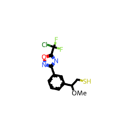 COC(CS)c1cccc(-c2noc(C(F)(F)Cl)n2)c1